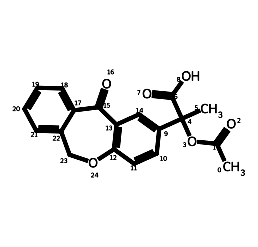 CC(=O)OC(C)(C(=O)O)c1ccc2c(c1)C(=O)c1ccccc1CO2